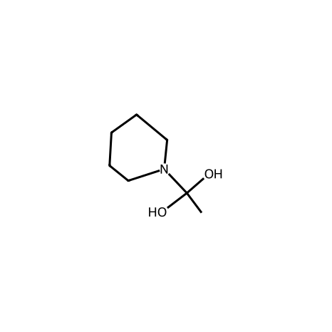 CC(O)(O)N1CCCCC1